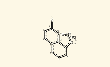 Cl.O=c1ccc2cccc3nnn1c23